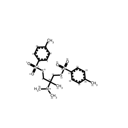 Cc1ccc(S(=O)(=O)SCC(C)(CSS(=O)(=O)c2ccc(C)cc2)N(C)C)cc1